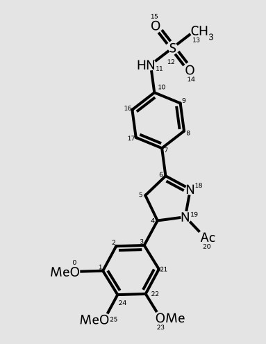 COc1cc(C2CC(c3ccc(NS(C)(=O)=O)cc3)=NN2C(C)=O)cc(OC)c1OC